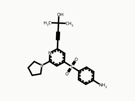 CC(C)(O)C#Cc1cc(S(=O)(=O)c2ccc(N)cc2)cc(N2CCCC2)n1